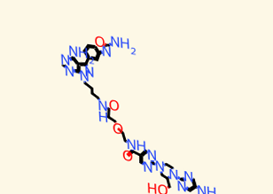 Nc1cnc(N2CCN(c3ncc(C(=O)NCCOCCC(=O)NCCCCn4nc(-c5ccc6oc(N)nc6c5)c5c(N)ncnc54)cn3)CC2CO)nc1